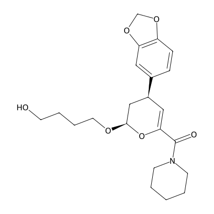 O=C(C1=C[C@H](c2ccc3c(c2)OCO3)C[C@H](OCCCCO)O1)N1CCCCC1